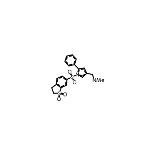 CNCc1cc(-c2ccccc2)n(S(=O)(=O)c2ccc3c(c2)S(=O)(=O)CC3)c1